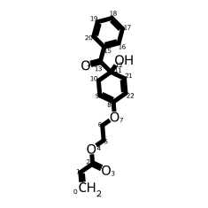 C=CC(=O)OCCOC1=CCC(O)(C(=O)c2ccccc2)C=C1